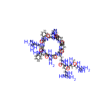 CC(=O)N[C@@H](CCCNC(=N)N)C(=O)N[C@@H](CCCNC(=N)N)C(=O)NCCCC[C@@H]1NC(=O)[C@H](CN)NC(=O)[C@H](Cc2c[nH]c3ccccc23)NC(=O)[C@H](CCCNC(=N)N)NC(=O)[C@@H](Cc2ccccc2)NC(=O)[C@H](Cc2cnc[nH]2)NC(=O)[C@@H]2CCCN2C(=O)[C@H]2CCCN2C1=O